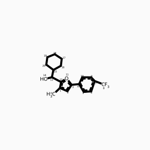 Cc1cc(-c2ccc(C(F)(F)F)cc2)oc1C(O)C1CCCCC1